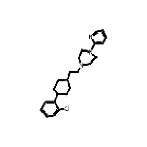 Clc1ccccc1C1CCC(CCN2CCN(c3ccccn3)CC2)CC1